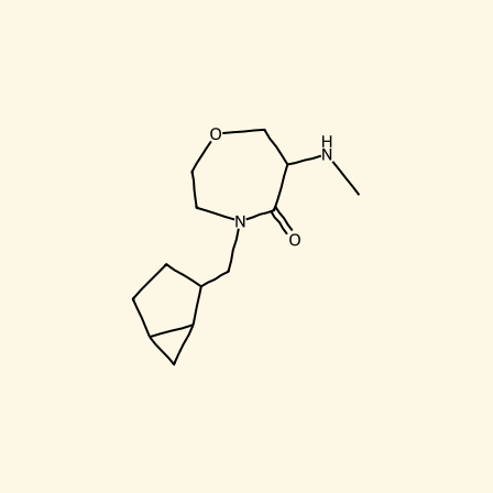 CNC1COCCN(CC2CCC3CC32)C1=O